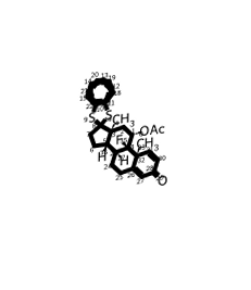 CC(=O)O[C@H]1C[C@@]2(C)[C@@H](CCC2(Sc2ccccc2)Sc2ccccc2)[C@@H]2CCC3=CC(=O)C=C[C@]3(C)[C@@]12F